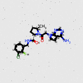 C[C@@H]1CC[C@@H](C(=O)NCc2cccc(Cl)c2F)N1C(=O)Cn1ccc2c(N)ncnc21